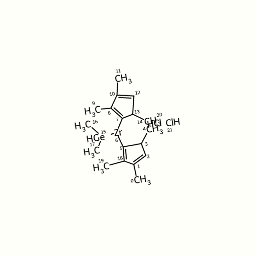 CC1=CC(C)[C]([Zr]([C]2=C(C)C(C)=CC2C)[GeH]([CH3])[CH3])=C1C.Cl.Cl